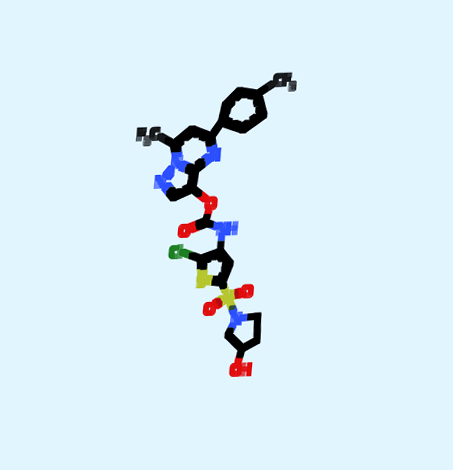 O=C(Nc1cc(S(=O)(=O)N2CCC(O)C2)sc1Cl)Oc1cnn2c(C(F)(F)F)cc(-c3ccc(C(F)(F)F)cc3)nc12